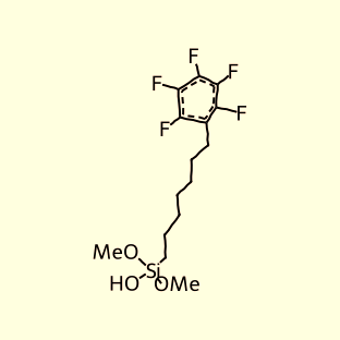 CO[Si](O)(CCCCCCCc1c(F)c(F)c(F)c(F)c1F)OC